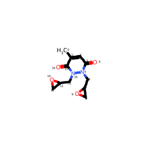 Cc1cc(=O)n(CC2CO2)n(CC2CO2)c1=O